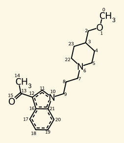 COCC1CCN(CCCn2cc(C(C)=O)c3ccccc32)CC1